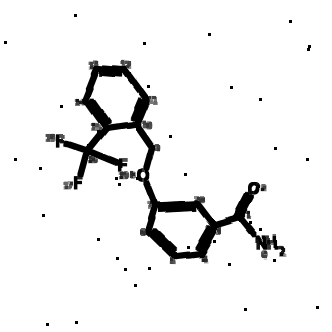 NC(=O)c1cccc(OCc2ccccc2C(F)(F)F)c1